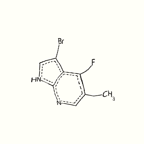 Cc1cnc2[nH]cc(Br)c2c1F